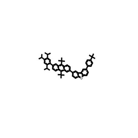 CC(C)c1cc(C(C)C)c(C(C)C)cc1-c1ccc2c(C(C)(C)C)c3cc(-c4ccc5oc6ccc(-c7ccc(C(C)(C)C)cc7)cc6c5c4)ccc3c(C(C)(C)C)c2c1